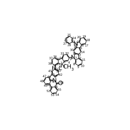 CC1(C)c2cc(-n3c4ccccc4c4cc5c6ccccc6n(-c6ccccc6)c5cc43)ccc2-c2cccc(-c3ccc4c(c3)c3cccc5c6ccccc6c(=O)n4c53)c21